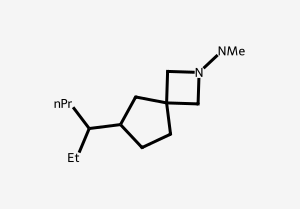 CCCC(CC)C1CCC2(C1)CN(NC)C2